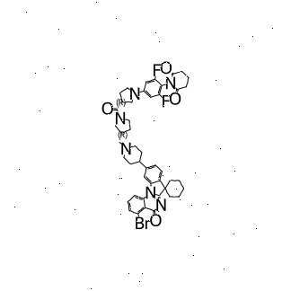 O=C([C@@H]1CCN(c2cc(F)c(N3C(=O)CCCC3=O)c(F)c2)C1)N1CC[C@H](CN2CCC(c3ccc4c(c3)-n3c(nc(=O)c5c(Br)cccc53)C43CCCCC3)CC2)C1